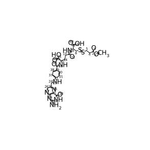 COC(=O)CCSSCC(NC(=O)CCC(NC(=O)c1ccc(NCc2cnc3nc(N)[nH]c(=O)c3n2)cc1)C(=O)O)C(=O)O